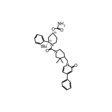 CC1(C)CN(C(=O)N2CC[C@@H](OC(N)=O)C[C@@]2(c2ccccc2)C(C)(C)C)CCC1Cn1ccc(-c2ccccc2)cc1=O